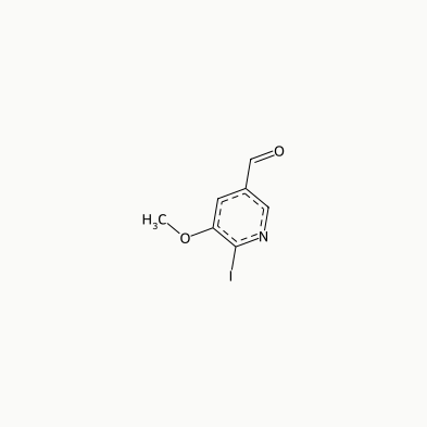 COc1cc(C=O)cnc1I